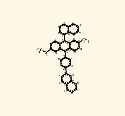 CSc1ccc2c(-c3cccc4ccccc34)c3cc(C)ccc3c(-c3ccc(-c4ccc5ccccc5c4)cc3)c2c1